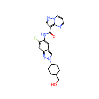 O=C(Nc1cc2cn([C@H]3CC[C@H](CO)CC3)nc2cc1F)c1cnn2cccnc12